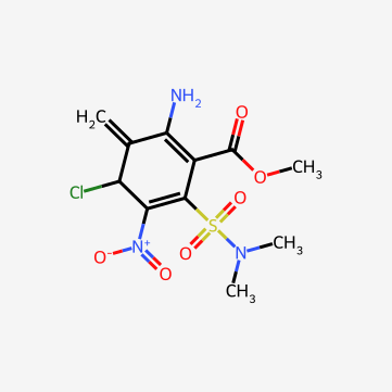 C=C1C(N)=C(C(=O)OC)C(S(=O)(=O)N(C)C)=C([N+](=O)[O-])C1Cl